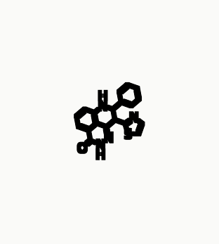 O=c1[nH]nc2c3c(cccc13)NC(c1ccccc1)C2c1nccs1